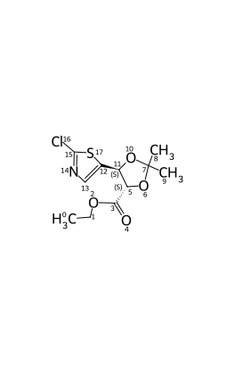 CCOC(=O)[C@H]1OC(C)(C)O[C@@H]1c1cnc(Cl)s1